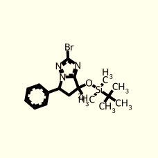 [2H]C1(O[Si](C)(C)C(C)(C)C)CC(c2ccccc2)n2nc(Br)nc21